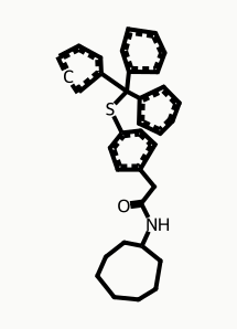 O=C(Cc1ccc(SC(c2ccccc2)(c2ccccc2)c2ccccc2)cc1)NC1CCCCCCC1